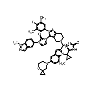 Cc1cc(-n2nc3c(c2-n2ccn(-c4ccc5c(cnn5C)c4)c2=O)CN(C(=O)c2cc4cc(N5CCOC6(CC6)C5)ccc4n2C2(c4noc(=O)[nH]4)C[C@@H]2C)CC3)cc(C)c1F